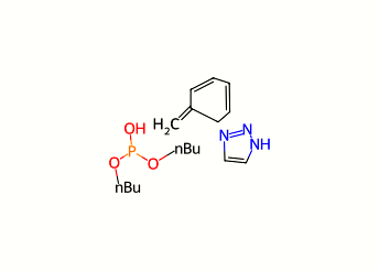 C=C1C=CC=CC1.CCCCOP(O)OCCCC.c1c[nH]nn1